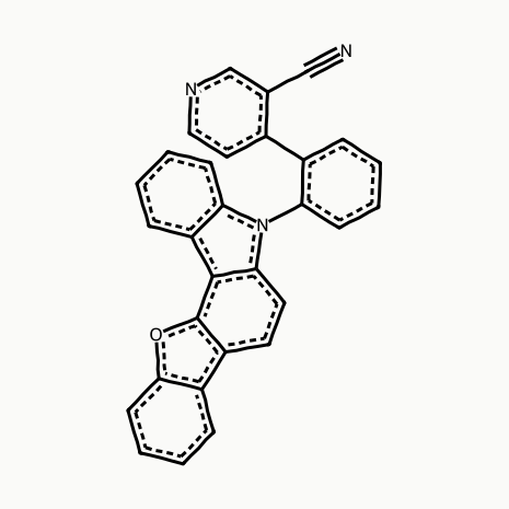 N#Cc1cnccc1-c1ccccc1-n1c2ccccc2c2c3oc4ccccc4c3ccc21